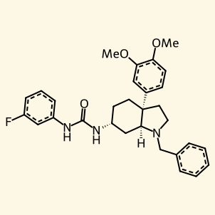 COc1ccc([C@@]23CC[C@@H](NC(=O)Nc4cccc(F)c4)C[C@@H]2N(Cc2ccccc2)CC3)cc1OC